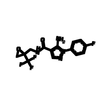 Nc1c(C(=O)NCC2(C(F)(F)F)CO2)cnn1-c1ccc(F)cc1